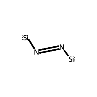 [Si]N=N[Si]